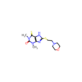 Cn1c(=S)c2[nH]c(SCCN3CCOCC3)nc2n(C)c1=O